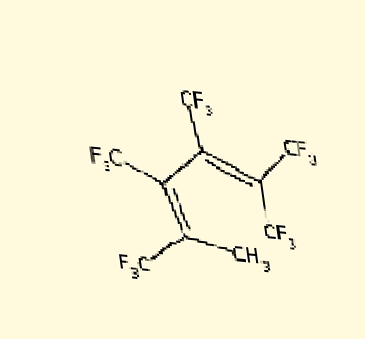 CC(=C(C(=C(C(F)(F)F)C(F)(F)F)C(F)(F)F)C(F)(F)F)C(F)(F)F